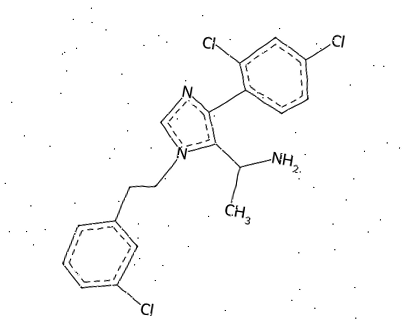 CC(N)c1c(-c2ccc(Cl)cc2Cl)ncn1CCc1cccc(Cl)c1